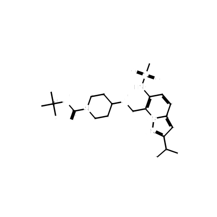 CC(C)c1cc2ccc(NS(C)(=O)=O)c(COC3CCN(C(=O)OC(C)(C)C)CC3)n2n1